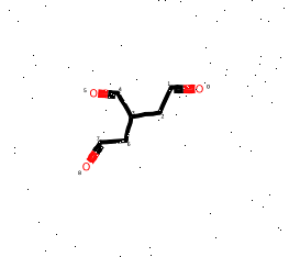 O=CCC(C=O)CC=O